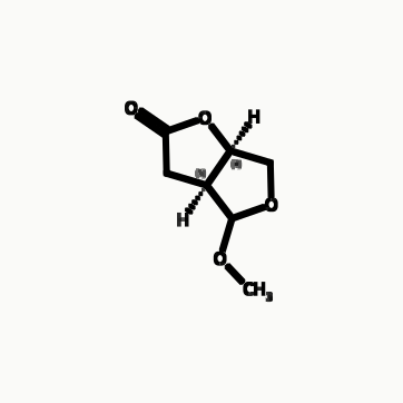 COC1OC[C@@H]2OC(=O)C[C@H]12